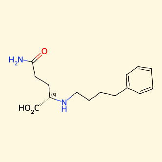 NC(=O)CC[C@H](NCCCCc1ccccc1)C(=O)O